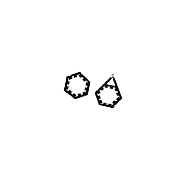 c1ccc2c(c1)S2.c1ccccc1